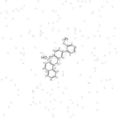 CC(C)Cc1ccccc1-c1ccc(C(=O)O)c(Cc2cccc3ccccc23)c1